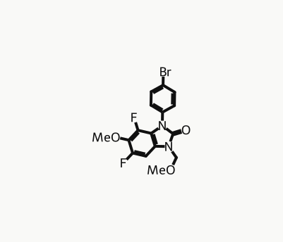 COCn1c(=O)n(-c2ccc(Br)cc2)c2c(F)c(OC)c(F)cc21